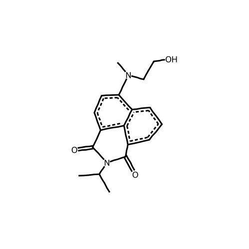 CC(C)N1C(=O)c2cccc3c(N(C)CCO)ccc(c23)C1=O